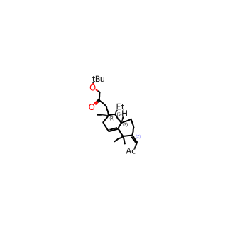 CC[C@H]1[C@@H]2CC/C(=C/C(C)=O)C(C)(C)C2=CC[C@]1(C)CC(=O)COC(C)(C)C